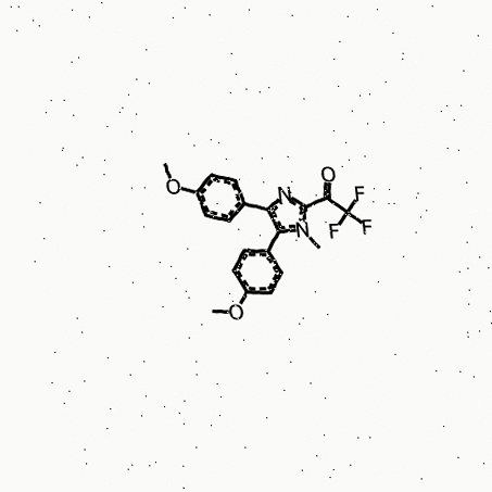 COc1ccc(-c2nc(C(=O)C(F)(F)F)n(C)c2-c2ccc(OC)cc2)cc1